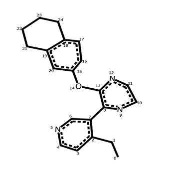 CCc1ccncc1-c1nccnc1Oc1ccc2c(c1)CCCC2